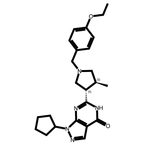 CCOc1ccc(CN2C[C@@H](C)[C@H](c3nc4c(cnn4C4CCCC4)c(=O)[nH]3)C2)cc1